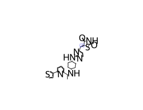 CC(NC1CCC(Nc2nccc(/C=C3\SC(=O)NC3=O)n2)CC1)c1cccc(-c2ccsc2)n1